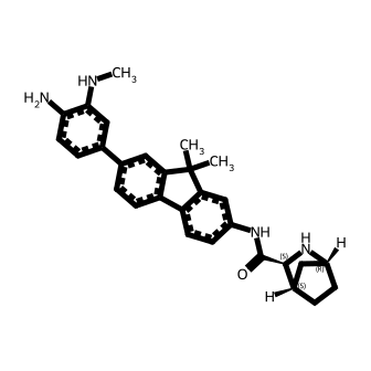 CNc1cc(-c2ccc3c(c2)C(C)(C)c2cc(NC(=O)[C@H]4N[C@@H]5CC[C@H]4C5)ccc2-3)ccc1N